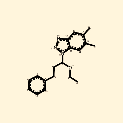 CCOC(CCc1ccccc1)n1nnc2cc(C)c(C)cc21